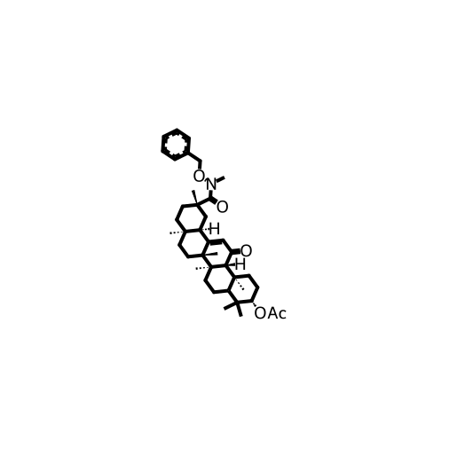 CC(=O)O[C@H]1CC[C@@]2(C)C(CC[C@]3(C)[C@@H]2C(=O)C=C2[C@@H]4C[C@@](C)(C(=O)N(C)OCc5ccccc5)CC[C@]4(C)CC[C@]23C)C1(C)C